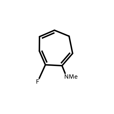 CNC1=CCC=CC=C1F